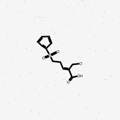 O=C(O)C(=CCCS(=O)(=O)c1ccccc1)CCl